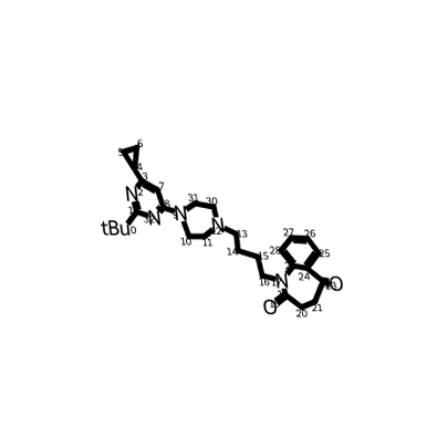 CC(C)(C)c1nc(C2CC2)cc(N2CCN(CCCCN3C(=O)CCC(=O)c4ccccc43)CC2)n1